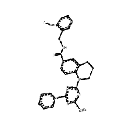 CNc1nc(-c2ccccc2)nc(N2CCCc3cc(C(=O)NCc4ccccc4CF)ccc32)n1